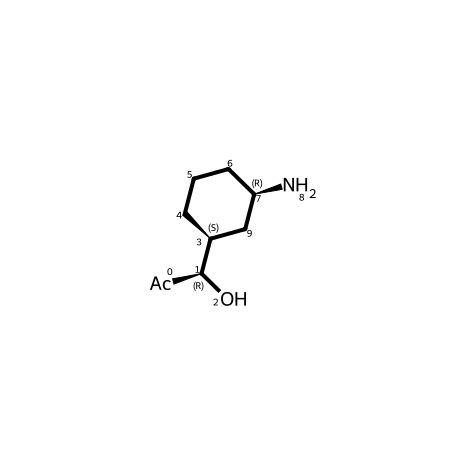 CC(=O)[C@H](O)[C@H]1CCC[C@@H](N)C1